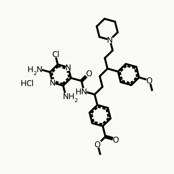 COC(=O)c1ccc(C(CCC(CCN2CCCCC2)c2ccc(OC)cc2)NC(=O)c2nc(Cl)c(N)nc2N)cc1.Cl